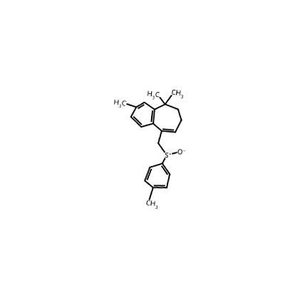 Cc1ccc([S+]([O-])CC2=CCCC(C)(C)c3cc(C)ccc32)cc1